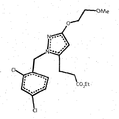 CCOC(=O)CCc1cc(OCCOC)nn1Cc1ccc(Cl)cc1Cl